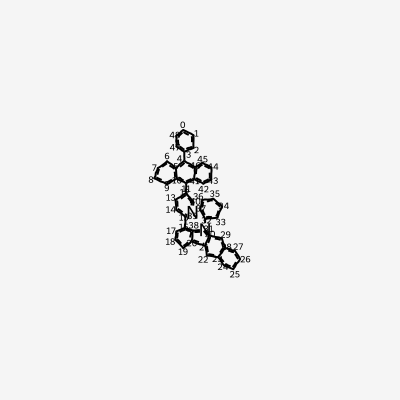 c1ccc(-c2c3ccccc3c(-c3ccc(-c4cccc5c6cc7ccccc7cc6n(-c6ccccc6)c45)nc3)c3ccccc23)cc1